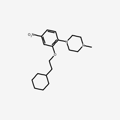 CN1CCN(c2ccc([N+](=O)[O-])cc2OCCC2CCCCC2)CC1